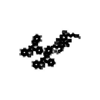 CCCCC(CC)CC(C(=O)O)C(CC(CC)CCCC)(C(=O)O)S(=O)(=O)O.Clc1ccccc1C1=NN(c2nc3ccccc3s2)N(c2ccccc2)N1.Clc1ccccc1C1=NN(c2nc3ccccc3s2)N(c2ccccc2)N1